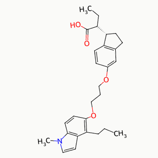 CCCc1c(OCCCOc2ccc3c(c2)CC[C@H]3C(CC)C(=O)O)ccc2c1ccn2C